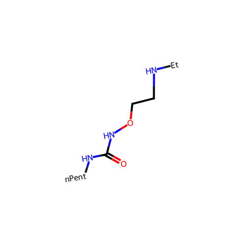 CCCCCNC(=O)NOCCNCC